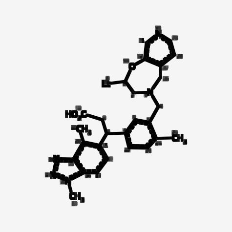 CCC1CN(Cc2cc(C(CC(=O)O)c3ccc4c(nnn4C)c3C)ccc2C)Cc2ccncc2O1